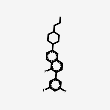 CCCC1CCC(c2ccc3c(F)c(-c4cc(F)cc(F)c4)ccc3c2)CC1